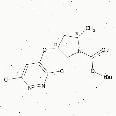 C[C@H]1C[C@@H](Oc2cc(Cl)nnc2Cl)CN1C(=O)OC(C)(C)C